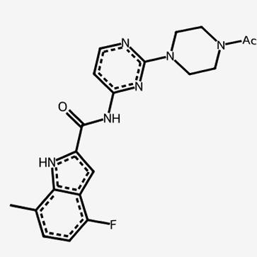 CC(=O)N1CCN(c2nccc(NC(=O)c3cc4c(F)ccc(C)c4[nH]3)n2)CC1